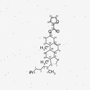 CC(C)CCC[C@@H](C)[C@H]1CCC2C3CC=C4CC(OC(=O)c5ccco5)CC[C@]4(C)C3CC[C@@]21C